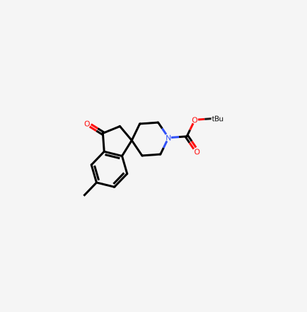 Cc1ccc2c(c1)C(=O)CC21CCN(C(=O)OC(C)(C)C)CC1